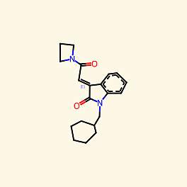 O=C(/C=C1/C(=O)N(CC2CCCCC2)c2ccccc21)N1CCC1